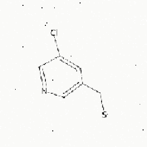 [S]Cc1cncc(Cl)c1